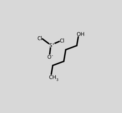 CCCCCO.[O-][S+](Cl)Cl